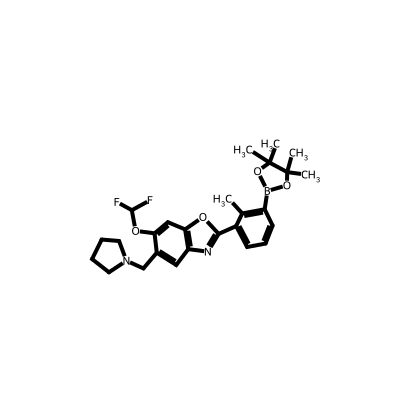 Cc1c(B2OC(C)(C)C(C)(C)O2)cccc1-c1nc2cc(CN3CCCC3)c(OC(F)F)cc2o1